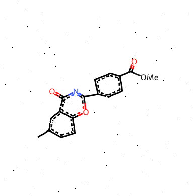 COC(=O)c1ccc(-c2nc(=O)c3cc(C)ccc3o2)cc1